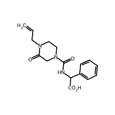 C=CCN1CCN(C(=O)NC(C(=O)O)c2ccccc2)CC1=O